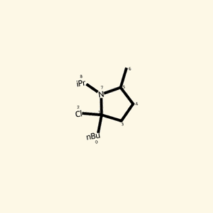 CCCCC1(Cl)CCC(C)N1C(C)C